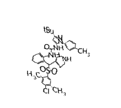 Cc1ccc(-n2nc(C(C)(C)C)cc2NC(=O)Nc2ccccc2C(C2CCNCC2)S(=O)(=O)c2cc(C)c(Cl)cc2C)cc1